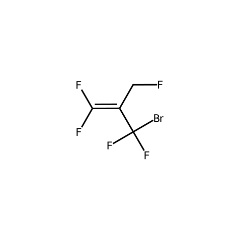 FCC(=C(F)F)C(F)(F)Br